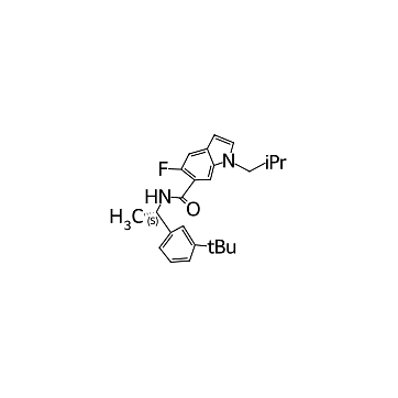 CC(C)Cn1ccc2cc(F)c(C(=O)N[C@@H](C)c3cccc(C(C)(C)C)c3)cc21